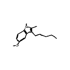 CCCCCc1c(C)n(C)c2ccc(OC)cc12